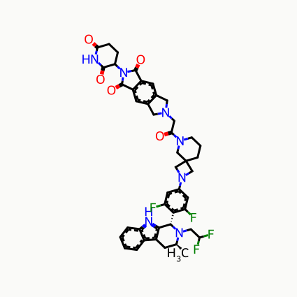 C[C@H]1Cc2c([nH]c3ccccc23)[C@H](c2c(F)cc(N3CC4(CCCN(C(=O)CN5Cc6cc7c(cc6C5)C(=O)N(C5CCC(=O)NC5=O)C7=O)C4)C3)cc2F)N1CC(F)F